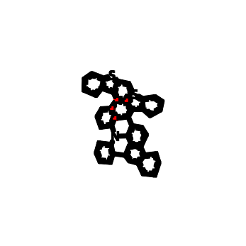 c1cc(-c2cccc3sc4ccccc4c23)cc(N(c2ccccc2-c2ccc3ccccc3c2)c2ccccc2-c2cccc3sc4ccccc4c23)c1